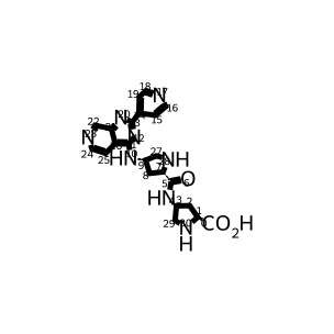 O=C(O)[C@@H]1C[C@H](NC(=O)[C@@H]2C[C@H](Nc3nc(-c4ccncc4)nc4cnccc34)CN2)CN1